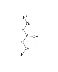 OC(COF)COF